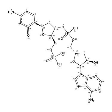 Nc1ccn([C@H]2C[C@H](OP(=O)(O)OC[C@@H]3[CH][C@@H](O)[C@H](n4cnc5c(N)ncnc54)O3)[C@@H](COP(=O)(O)O)O2)c(=O)c1